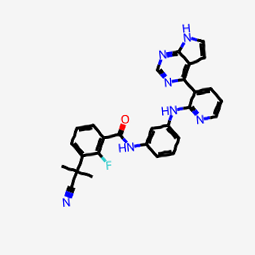 CC(C)(C#N)c1cccc(C(=O)Nc2cccc(Nc3ncccc3-c3ncnc4[nH]ccc34)c2)c1F